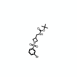 CC(C)(C)OC(=O)NCC1CN(S(=O)(=O)c2cccc(Br)c2)C1